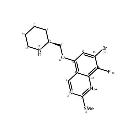 CSc1ncc2c(OC[C@@H]3CCCCN3)cc(Br)c(F)c2n1